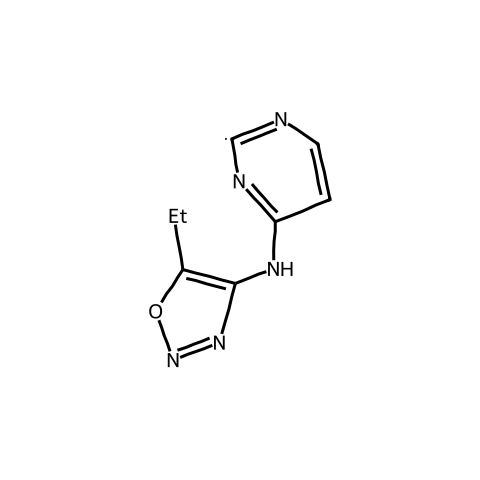 CCc1onnc1Nc1ccn[c]n1